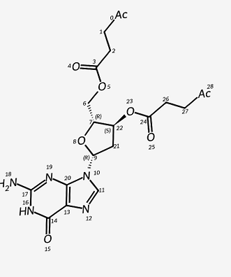 CC(=O)CCC(=O)OC[C@H]1O[C@@H](n2cnc3c(=O)[nH]c(N)nc32)C[C@@H]1OC(=O)CCC(C)=O